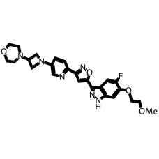 COCCOc1cc2[nH]nc(-c3cc(-c4ccc(N5CC(N6CCOCC6)C5)cn4)no3)c2cc1F